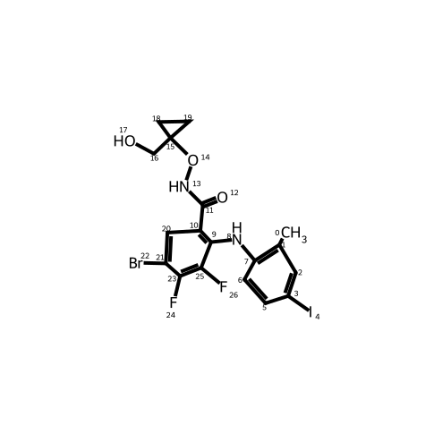 Cc1cc(I)ccc1Nc1c(C(=O)NOC2(CO)CC2)cc(Br)c(F)c1F